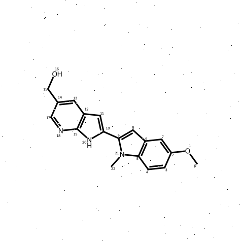 COc1ccc2c(c1)cc(-c1cc3cc(CO)cnc3[nH]1)n2C